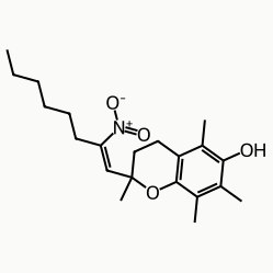 CCCCCCC(=CC1(C)CCc2c(C)c(O)c(C)c(C)c2O1)[N+](=O)[O-]